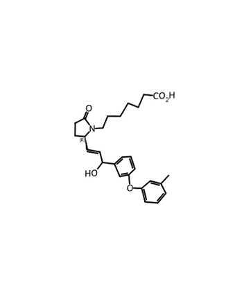 Cc1cccc(Oc2cccc(C(O)C=C[C@H]3CCC(=O)N3CCCCCCC(=O)O)c2)c1